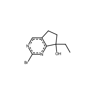 CCC1(O)CCc2cnc(Br)nc21